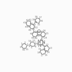 c1ccc(-c2ccc(-c3nc(-c4cccc5ccccc45)nc(-c4cccc5oc6c(-c7cc(-c8ccccc8)c8ccccc8c7)cccc6c45)n3)cc2)cc1